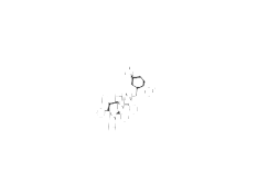 COc1ccc(OC)c(CNC(=O)n2cc(F)c(=O)[nH]c2=O)c1